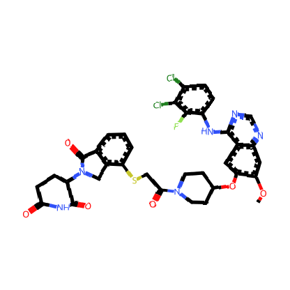 COc1cc2ncnc(Nc3ccc(Cl)c(Cl)c3F)c2cc1OC1CCN(C(=O)CSc2cccc3c2CN(C2CCC(=O)NC2=O)C3=O)CC1